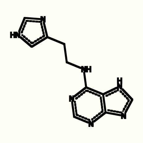 c1nc(NCCc2c[nH]cn2)c2[nH]cnc2n1